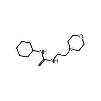 C=C(NCCN1CCOCC1)NC1CCCCC1